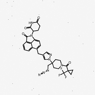 [N-]=[N+]=NCC1(n2cc(Cc3ccc4c5c(cccc35)C(=O)N4C3CCC(=O)NC3=O)cn2)CCN(C(=O)C2(C(F)(F)F)CC2)CC1